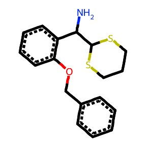 NC(c1ccccc1OCc1ccccc1)C1SCCCS1